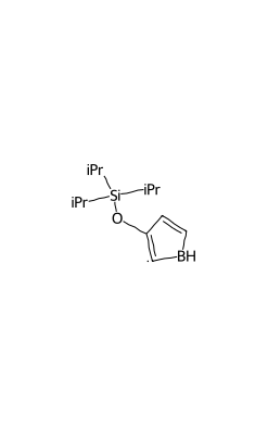 CC(C)[Si](OC1=[C]BC=C1)(C(C)C)C(C)C